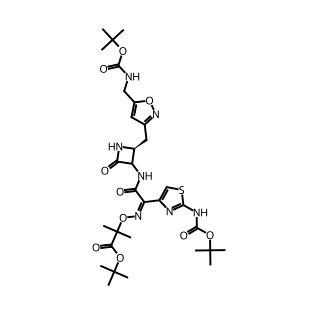 CC(C)(C)OC(=O)NCc1cc(C[C@@H]2NC(=O)C2NC(=O)/C(=N\OC(C)(C)C(=O)OC(C)(C)C)c2csc(NC(=O)OC(C)(C)C)n2)no1